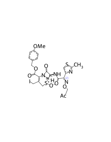 COc1ccc(COC(=O)C2=C(CI)C[S+]([O-])[C@@H]3[C@H](NC(=O)/C(=N\OCC(C)=O)c4csc(C)n4)C(=O)N23)cc1